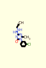 C#CCNNc1nc(C)n(-c2cccc(Cl)c2)c(=O)n1